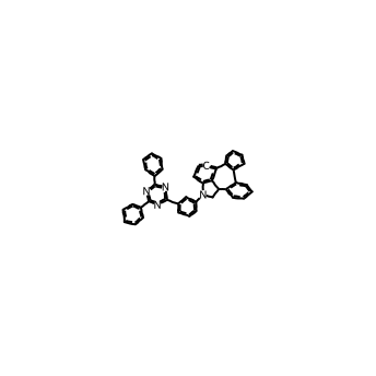 c1ccc(-c2nc(-c3ccccc3)nc(-c3cccc(N4CC5c6ccccc6-c6ccccc6-c6cccc4c65)c3)n2)cc1